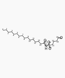 CCCCCCCCCCCCCCCC(=O)NS(=O)(=O)CCCC=O